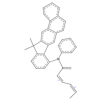 C=C(/C=C\C=C/C)N(c1ccccc1)c1cccc2c1-c1cc3ccc4ccccc4c3cc1C2(C)C